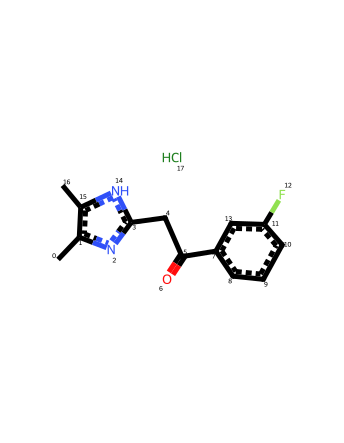 Cc1nc(CC(=O)c2cccc(F)c2)[nH]c1C.Cl